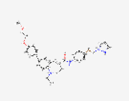 CCCCOCCOc1ccc(-c2ccc3c(c2)C=C(C(=O)Nc2ccc(SCn4cccn4)cc2)CCN3CC(C)C)cc1